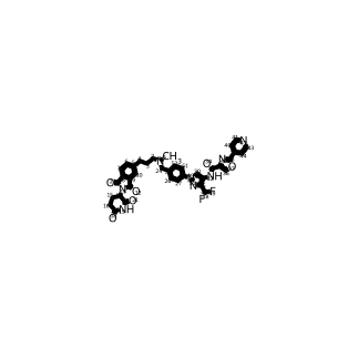 CN(CCCc1ccc2c(c1)C(=O)N(C1CCC(=O)NC1=O)C2=O)Cc1ccc(-n2cc(NC(=O)c3coc(-c4ccncc4)n3)c(C(F)F)n2)cc1